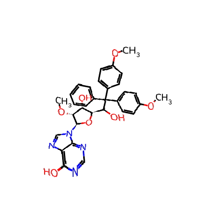 COc1ccc(C(c2ccccc2)(c2ccc(OC)cc2)C(O)[C@H]2O[C@@H](n3cnc4c(O)ncnc43)[C@H](OC)[C@@H]2O)cc1